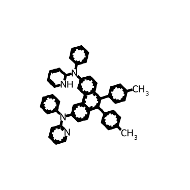 Cc1ccc(-c2c(-c3ccc(C)cc3)c3ccc(N(c4ccccc4)C4C=CC=CN4)cc3c3cc(N(c4ccccc4)c4ccccn4)ccc23)cc1